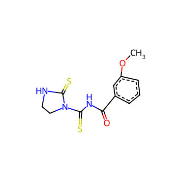 COc1cccc(C(=O)NC(=S)N2CCNC2=S)c1